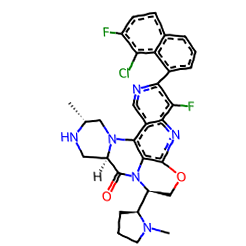 C[C@@H]1CN2c3c4c(nc5c(F)c(-c6cccc7ccc(F)c(Cl)c67)ncc35)OC[C@@H]([C@@H]3CCCN3C)N4C(=O)[C@H]2CN1